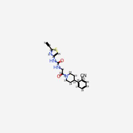 C#Cc1nc(NC(=O)NCC(=O)N2CCC(c3ccccc3C#N)CC2)cs1